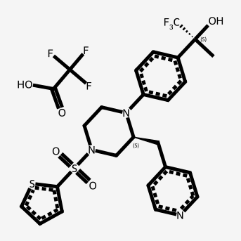 C[C@](O)(c1ccc(N2CCN(S(=O)(=O)c3cccs3)C[C@@H]2Cc2ccncc2)cc1)C(F)(F)F.O=C(O)C(F)(F)F